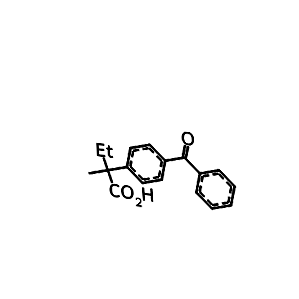 CCC(C)(C(=O)O)c1ccc(C(=O)c2ccccc2)cc1